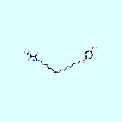 NC(=O)C(=O)NCCCCC/C=C\CCCCCCCOc1ccc(O)cc1